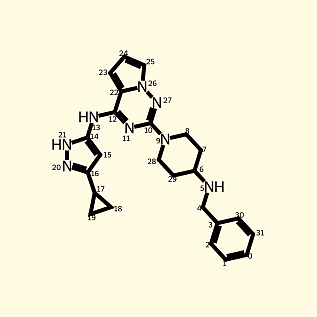 c1ccc(CNC2CCN(c3nc(Nc4cc(C5CC5)n[nH]4)c4cccn4n3)CC2)cc1